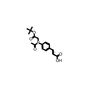 CC(=O)N(CC(=O)OC(C)(C)C)c1ccc(/C=C/C(=O)O)cc1